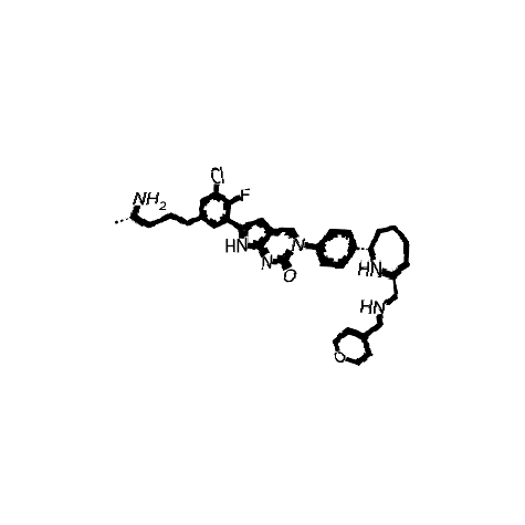 C[C@H](N)CCCc1cc(Cl)c(F)c(-c2cc3cn(-c4ccc([C@@H]5CCCC[C@@H](CNCC6CCOCC6)N5)cc4)c(=O)nc3[nH]2)c1